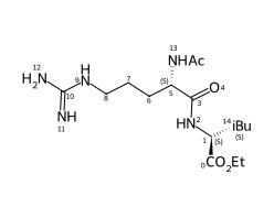 CCOC(=O)[C@@H](NC(=O)[C@H](CCCNC(=N)N)NC(C)=O)[C@@H](C)CC